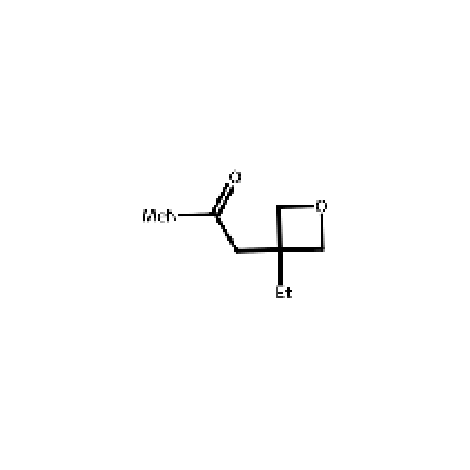 CCC1(CC(=O)NC)COC1